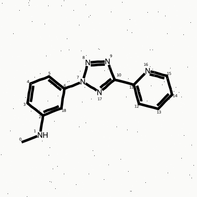 CNc1cccc(-n2nnc(-c3ccccn3)n2)c1